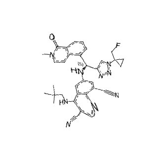 Cn1ccc2c([C@H](Nc3cc(C#N)c4ncc(C#N)c(NCC(C)(C)C)c4c3)c3cn(C4(CF)CC4)nn3)cccc2c1=O